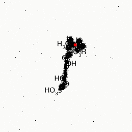 C[PH](c1ccccc1)(c1ccccc1)c1ccccc1.C[PH](c1ccccc1)(c1ccccc1)c1ccccc1.O=C(OCC(O)COCCCCOCC(O)COC(=O)c1ccc(S(=O)(=O)O)cc1)c1ccc(S(=O)(=O)O)cc1